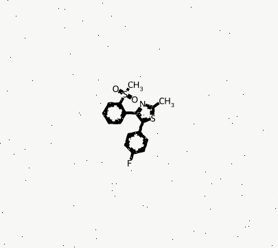 Cc1nc(-c2ccccc2S(C)(=O)=O)c(-c2ccc(F)cc2)s1